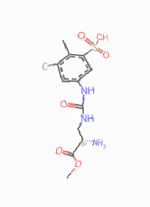 COC(=O)[C@@H](N)CNC(=O)Nc1cc(Cl)c(C)c(S(=O)(=O)O)c1